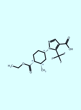 CCOC(=O)[C@@H]1CC[C@H](n2ncc(C(=O)O)c2C(F)(F)F)C[C@@H]1C